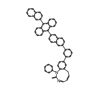 C=C1/N=C\C=C/Cc2cc(-c3cccc(-c4ccc5cc(-c6c7ccccc7c(-c7ccc8ccccc8c7)c7ccccc67)ccc5c4)c3)ccc2N1c1ccccc1